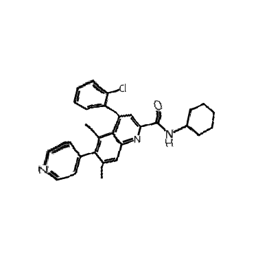 Cc1cc2nc(C(=O)NC3CCCCC3)cc(-c3ccccc3Cl)c2c(C)c1-c1ccncc1